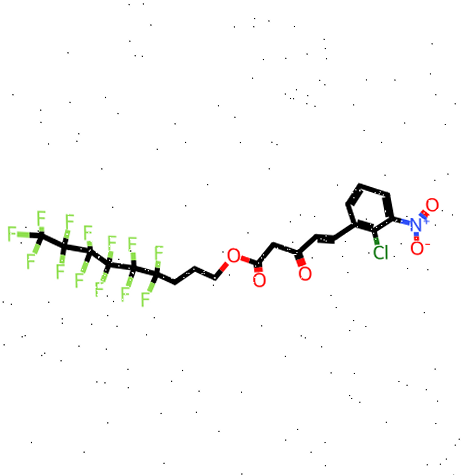 O=C(C=Cc1cccc([N+](=O)[O-])c1Cl)CC(=O)OCCCC(F)(F)C(F)(F)C(F)(F)C(F)(F)C(F)(F)C(F)(F)F